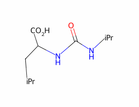 CC(C)CC(NC(=O)NC(C)C)C(=O)O